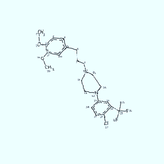 COc1ccc(CCCN2CCN(c3ccc(Cl)c(C(F)(F)F)c3)CC2)cc1OC